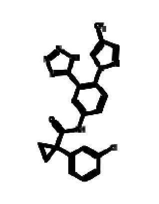 O=C(Nc1ccc(-n2cc(C(F)(F)F)cn2)c(-c2nnn[nH]2)c1)C1(c2cccc(Cl)c2)CC1